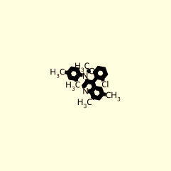 CC(=O)N(c1ccc(C)cc1C)c1cnc2c(C)cc(C)cc2c1-c1ccccc1Cl